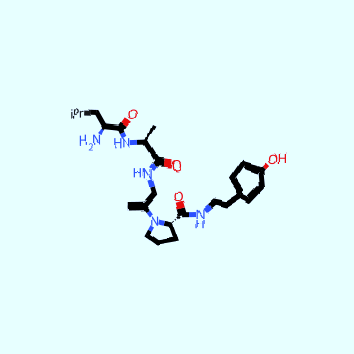 C=C(CNC(=O)[C@H](C)NC(=O)[C@@H](N)CC(C)C)N1CCC[C@H]1C(=O)NCCc1ccc(O)cc1